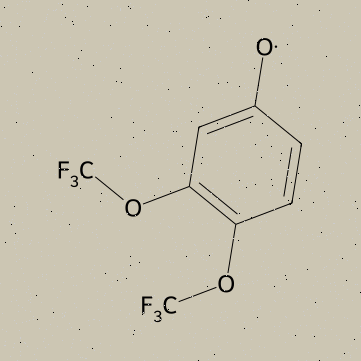 [O]c1ccc(OC(F)(F)F)c(OC(F)(F)F)c1